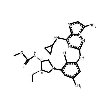 CC[C@H]1CN(c2cc(N)cc(Nc3nc(NC4CC4)c4ncc(N)n4n3)c2Cl)C[C@H]1NC(=O)OC